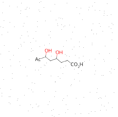 CC(=O)C(O)CC(O)CCC(=O)O